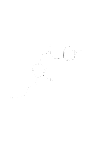 CCCCCCCCCCCCOc1ccc(CN(Cc2cc[n+](CC)cc2)C(C)=O)cc1C(C)(C)C.[I-]